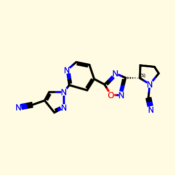 N#Cc1cnn(-c2cc(-c3nc([C@@H]4CCCN4C#N)no3)ccn2)c1